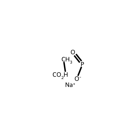 CC(=O)O.O=P[O-].[Na+]